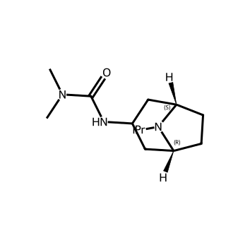 CC(C)N1[C@@H]2CC[C@H]1CC(NC(=O)N(C)C)C2